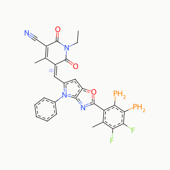 CCN1C(=O)C(C#N)=C(C)/C(=C/c2cc3oc(-c4c(C)c(F)c(F)c(P)c4P)nc3n2-c2ccccc2)C1=O